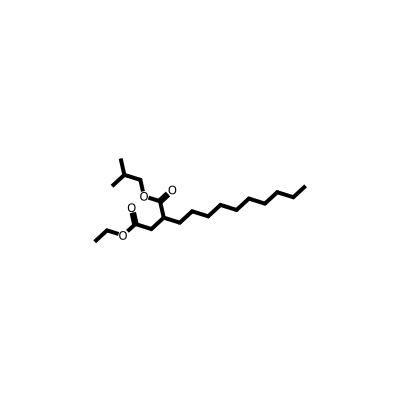 CCCCCCCCCCC(CC(=O)OCC)C(=O)OCC(C)C